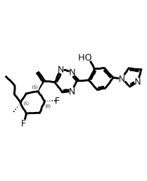 C=C(c1cnc(-c2ccc(-n3ccnc3)cc2O)nn1)[C@@H]1C[C@](C)(CCC)C(F)C[C@H]1F